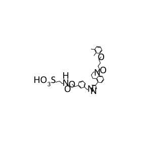 Cc1cccc(OCCCC(=O)N2CCCc3c(-c4cnn(Cc5cccc(COC(=O)NCCCS(=O)(=O)O)c5)c4)cccc32)c1C